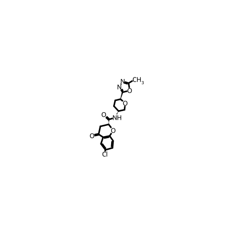 Cc1nnc([C@@H]2CC[C@@H](NC(=O)[C@H]3CC(=O)c4cc(Cl)ccc4O3)CO2)o1